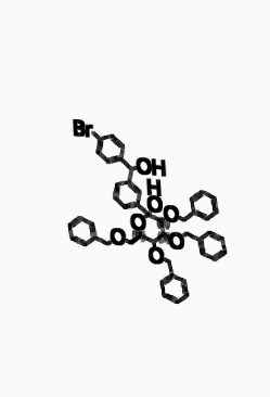 OC(c1ccc(Br)cc1)c1cccc(C2(O)O[C@H](COCc3ccccc3)C(OCc3ccccc3)[C@H](OCc3ccccc3)[C@H]2OCc2ccccc2)c1